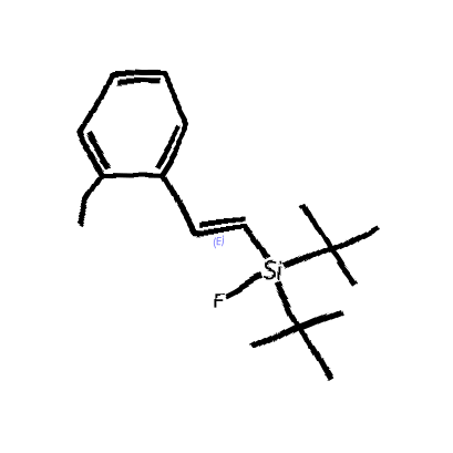 Cc1ccccc1/C=C/[Si](F)(C(C)(C)C)C(C)(C)C